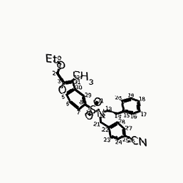 CCOCc1oc2ccc(S(=O)(=O)N(CCc3ccccc3)Cc3ccc(C#N)cc3)cc2c1C